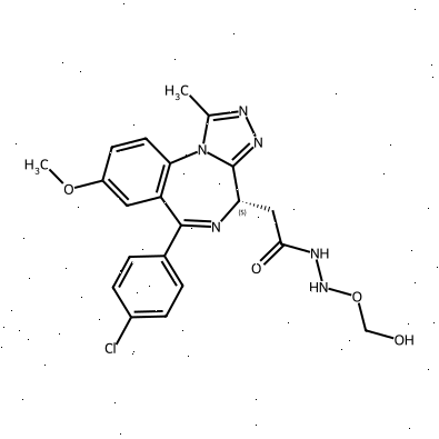 COc1ccc2c(c1)C(c1ccc(Cl)cc1)=N[C@@H](CC(=O)NNOCO)c1nnc(C)n1-2